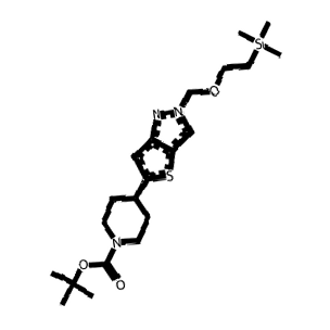 CC(C)(C)OC(=O)N1CCC(c2cc3nn(COCC[Si](C)(C)C)cc3s2)CC1